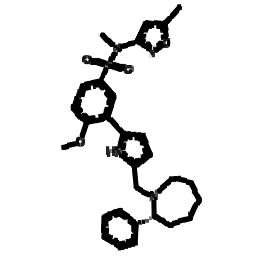 COc1ccc(S(=O)(=O)N(C)c2cc(C)on2)cc1-c1ccc(CN2CCCCC[C@@H]2c2ccccc2)[nH]1